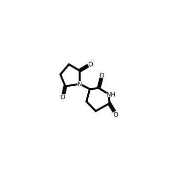 O=C1CCC(N2C(=O)CCC2=O)C(=O)N1